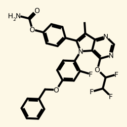 Cc1c(-c2ccc(OC(N)=O)cc2)n(-c2ccc(OCc3ccccc3)cc2F)c2c(OC(F)C(F)F)ncnc12